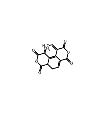 C=C1C(=O)OC(=O)C2CC=C3C(=O)OC(=O)/C(=C/C)C3=C12